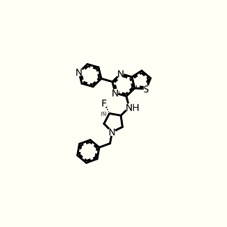 F[C@H]1CN(Cc2ccccc2)CC1Nc1nc(-c2ccncc2)nc2ccsc12